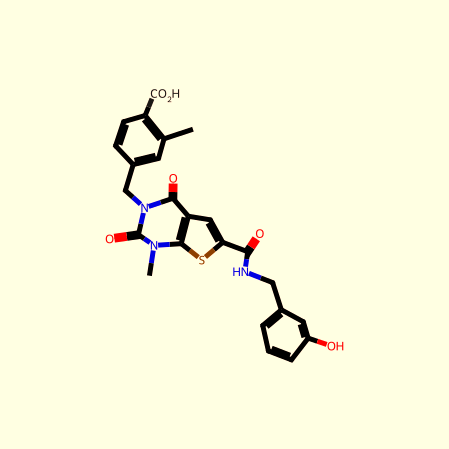 Cc1cc(Cn2c(=O)c3cc(C(=O)NCc4cccc(O)c4)sc3n(C)c2=O)ccc1C(=O)O